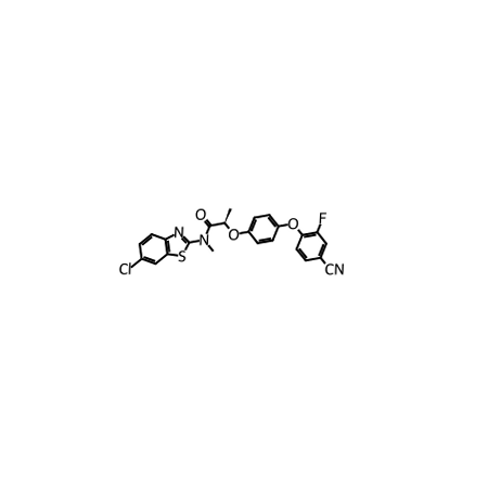 C[C@@H](Oc1ccc(Oc2ccc(C#N)cc2F)cc1)C(=O)N(C)c1nc2ccc(Cl)cc2s1